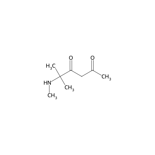 CNC(C)(C)C(=O)CC(C)=O